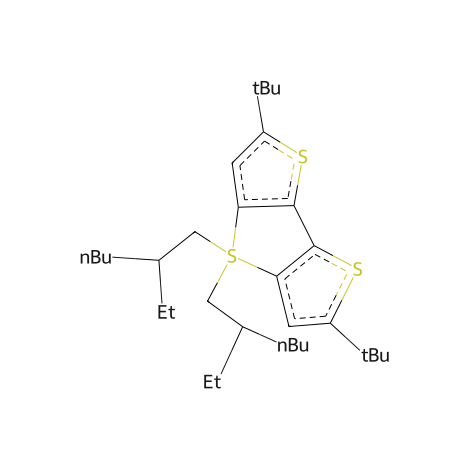 CCCCC(CC)CS1(CC(CC)CCCC)c2cc(C(C)(C)C)sc2-c2sc(C(C)(C)C)cc21